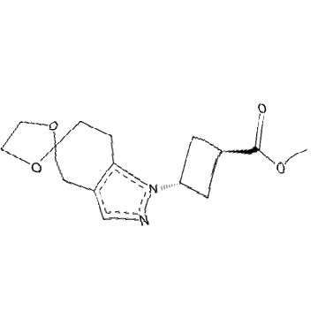 COC(=O)[C@H]1C[C@H](n2ncc3c2CCC2(C3)OCCO2)C1